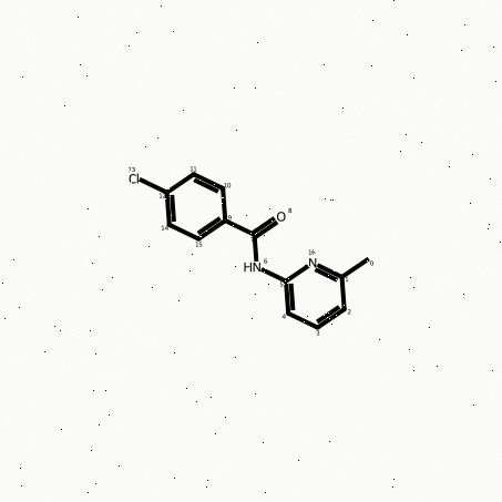 Cc1cccc(NC(=O)c2ccc(Cl)cc2)n1